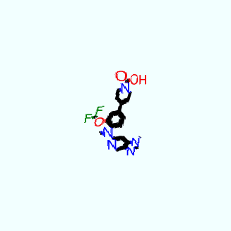 CN(c1cc2c(cn1)ncn2C)c1ccc(C2=CCN(C(=O)O)CC2)cc1OC(F)F